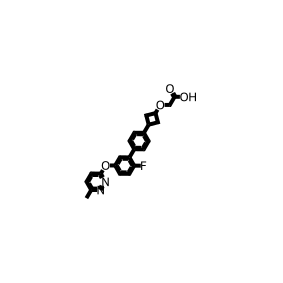 Cc1ccc(Oc2ccc(F)c(-c3ccc(C4CC(OCC(=O)O)C4)cc3)c2)nn1